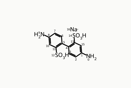 Nc1ccc(-c2ccc(N)cc2S(=O)(=O)O)c(S(=O)(=O)O)c1.[Na]